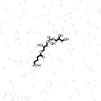 CCCCCCCCCCCCCC(=O)OC[C@@H](O)COP(=O)(O)OCC(O)CO